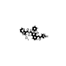 Cc1nn2cccnc2c1C(=O)N[C@@H](C)c1cc2cccc(CC(=O)c3cn[nH]c3)c2c(=O)n1-c1ccccc1